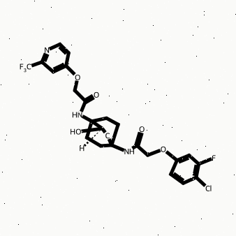 O=C(COc1ccc(Cl)c(F)c1)NC12CCC(NC(=O)COc3ccnc(C(F)(F)F)c3)(CC1)[C@H](O)C2